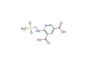 CS(=O)(=O)CNc1ncc(C(=O)O)cc1C(=O)O